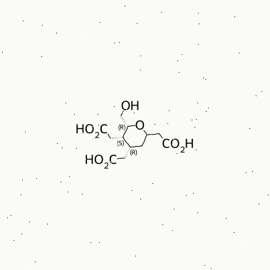 O=C(O)CC1C[C@H](CC(=O)O)[C@H](CC(=O)O)[C@H](CO)O1